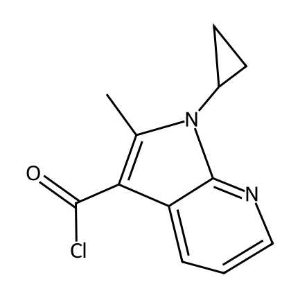 Cc1c(C(=O)Cl)c2cccnc2n1C1CC1